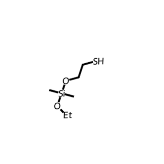 CCO[Si](C)(C)OCCS